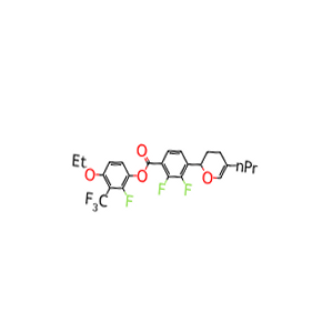 CCCC1=COC(c2ccc(C(=O)Oc3ccc(OCC)c(C(F)(F)F)c3F)c(F)c2F)CC1